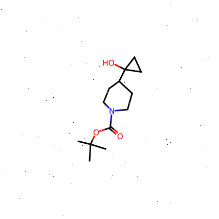 CC(C)(C)OC(=O)N1CCC(C2(O)CC2)CC1